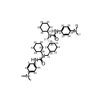 CN(C)c1ccc(NC(=O)N(C[C@@H]2CCC[C@@H](CN(C(=O)Nc3ccc(N(C)C)cc3)C3CCCCC3)C2)C2CCCCC2)cc1